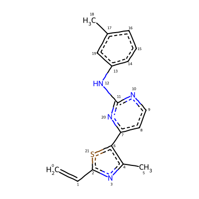 C=Cc1nc(C)c(-c2ccnc(Nc3cccc(C)c3)n2)s1